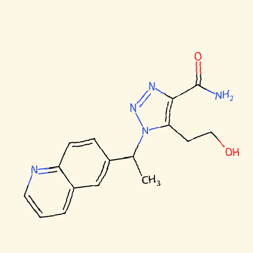 CC(c1ccc2ncccc2c1)n1nnc(C(N)=O)c1CCO